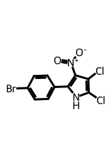 O=[N+]([O-])c1c(-c2ccc(Br)cc2)[nH]c(Cl)c1Cl